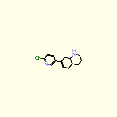 Clc1ccc(C2=CCC3CCCNC3C2)cn1